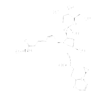 CCNC(=O)CCC/C=C\C[C@@H]1[C@@H](/C=C/[C@@H](O)CCC2OCC=CN2C2CC2)[C@H](O)C[C@@H]1O[C@]1(C)C[C@H](O)[C@H](O)C(CO)O1